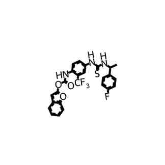 CC(NC(=S)Nc1ccc(NC(=O)Oc2cc3ccccc3o2)c(C(F)(F)F)c1)c1ccc(F)cc1